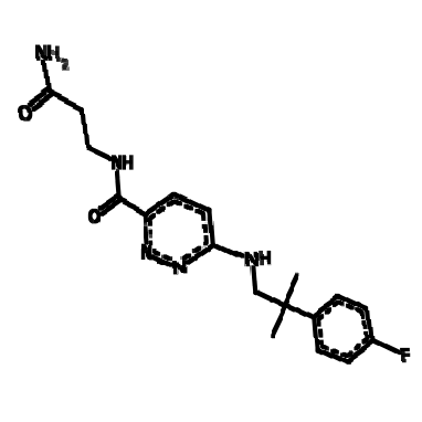 CC(C)(CNc1ccc(C(=O)NCCC(N)=O)nn1)c1ccc(F)cc1